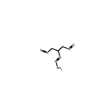 NN=NC(CN=O)CN=O